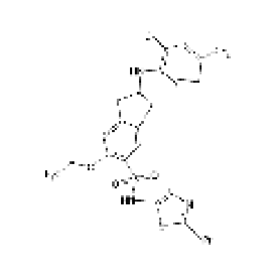 CC(C)c1nnc(NS(=O)(=O)c2cc3c(cc2OCC(F)(F)F)CC(Nc2ncc(C(F)(F)F)cc2Cl)C3)s1